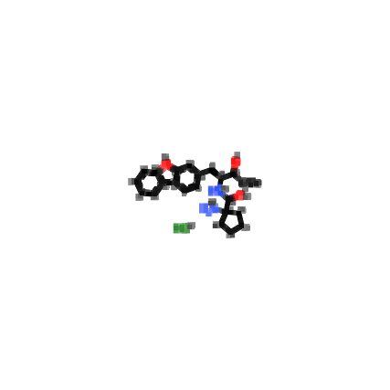 COC(=O)[C@H](Cc1ccc2c(c1)oc1ccccc12)NC(=O)C1(N)CCCC1.Cl